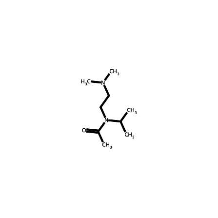 CC(=O)N(CCN(C)C)C(C)C